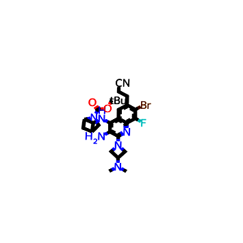 CN(C)C1CN(c2nc3c(F)c(Br)c(CCC#N)cc3c(NC3C4CC3N(C(=O)OC(C)(C)C)C4)c2N)C1